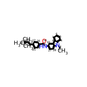 CCn1c2ccccc2c2cc(NC(=O)c3ccc(C=CC(C)(C)C)cc3)ccc21